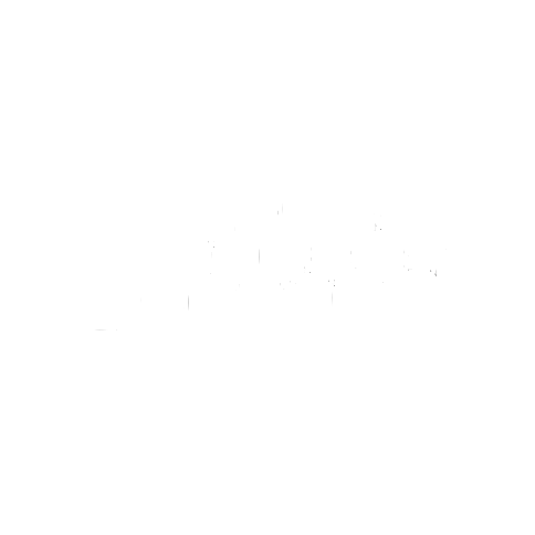 Cn1ccc(Nc2cc(-c3cccc(N4CCc5cc(C6CC6)ccc5C4=O)c3CO)nn(C)c2=O)n1